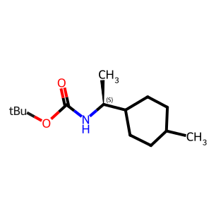 CC1CCC([C@H](C)NC(=O)OC(C)(C)C)CC1